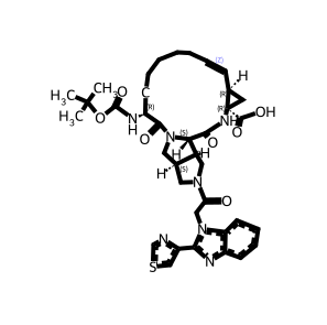 CC(C)(C)OC(=O)N[C@@H]1CCCCC/C=C\[C@H]2C[C@@]2(C(=O)O)NC(=O)[C@@H]2[C@H]3CN(C(=O)Cn4c(-c5cscn5)nc5ccccc54)C[C@H]3CN2C1=O